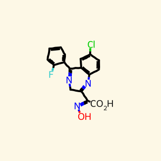 O=C(O)/C(=N\O)C1=Nc2ccc(Cl)cc2C(c2ccccc2F)=NC1